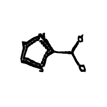 ClC(Cl)c1nccs1